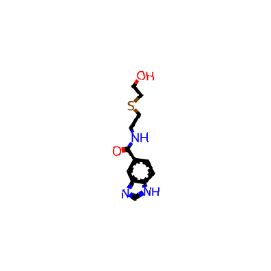 O=C(NCCSCCO)c1ccc2[nH]cnc2c1